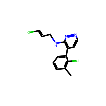 Cc1cccc(-c2ccnnc2NC/C=C/Cl)c1Cl